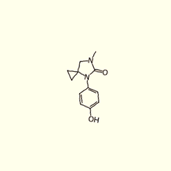 CN1CC2(CC2)N(c2ccc(O)cc2)C1=O